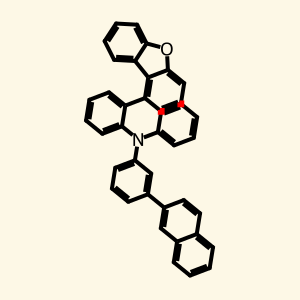 c1ccc(N(c2cccc(-c3ccc4ccccc4c3)c2)c2ccccc2-c2cccc3oc4ccccc4c23)cc1